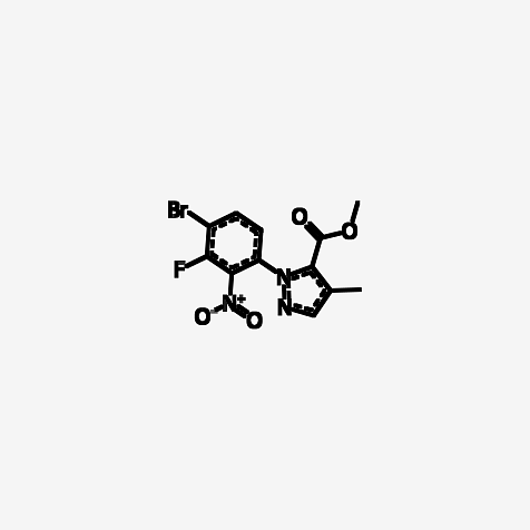 COC(=O)c1c(C)cnn1-c1ccc(Br)c(F)c1[N+](=O)[O-]